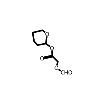 O=COCC(=O)OC1CCCCO1